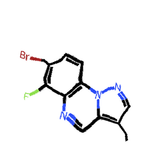 Cc1cnn2c1cnc1c(F)c(Br)ccc12